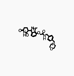 Cn1nc(C2CCC(=O)NC2=O)c2cccc(OCC(=O)NCc3ccc(CN4CCOCC4)cc3)c21